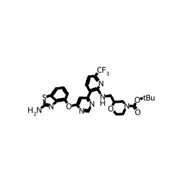 CC(C)(C)OC(=O)N1CCOC(CNc2nc(C(F)(F)F)ccc2-c2cc(Oc3cccc4sc(N)nc34)ncn2)C1